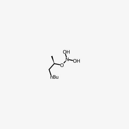 CCCCC[C@@H](C)ON(O)O